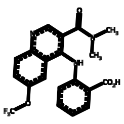 CN(C)C(=O)c1cnc2ccc(OC(F)(F)F)cc2c1Nc1ccccc1C(=O)O